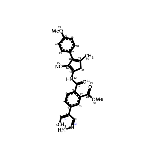 C/C=C(\C=N/C)c1ccc(C(=O)NC2=C(C#N)C(c3ccc(OC)cc3)=C(C)C2)c(C(=O)OC)c1